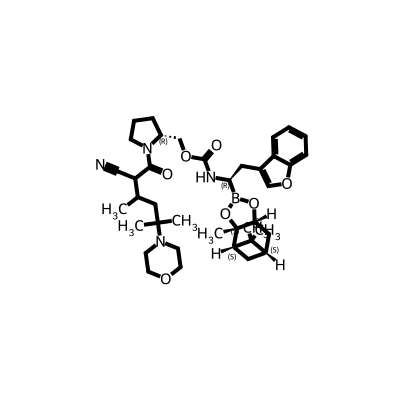 CC(CC(C)(C)N1CCOCC1)C(C#N)C(=O)N1CCC[C@@H]1COC(=O)N[C@@H](Cc1coc2ccccc12)B1O[C@@H]2C[C@@H]3C[C@@H](C3(C)C)[C@]2(C)O1